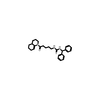 O=C(CCCCNC(=S)NC(c1ccccc1)c1ccccc1)N1CCCC2CCCC=C21